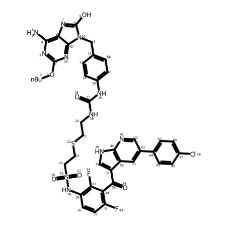 CCCCOc1nc(N)c2nc(O)n(Cc3ccc(NC(=O)NCCSCCS(=O)(=O)Nc4ccc(F)c(C(=O)c5c[nH]c6ncc(-c7ccc(Cl)cc7)cc56)c4F)cc3)c2n1